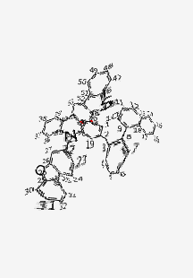 c1cc(-c2ccccc2-c2cccc3ccccc23)cc(N(c2ccc3c(c2)oc2ccccc23)c2ccccc2-c2ccc3sc4ccccc4c3c2)c1